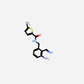 N=Cc1c(N)cccc1CNC(=O)c1ccc(C(F)(F)F)s1